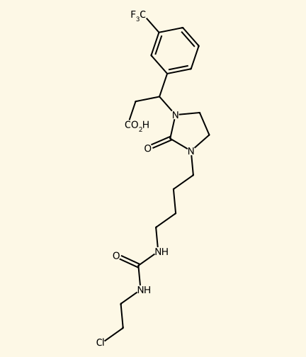 O=C(O)CC(c1cccc(C(F)(F)F)c1)N1CCN(CCCCNC(=O)NCCCl)C1=O